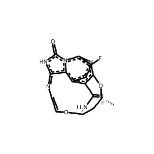 C[C@@H]1CCOC=CN=c2[nH]c(=O)n3c4nc(c(C(N)=O)c(cc4F)c23)O1